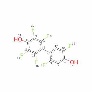 Oc1cc(F)c(-c2c(F)c(F)c(O)c(F)c2F)cc1F